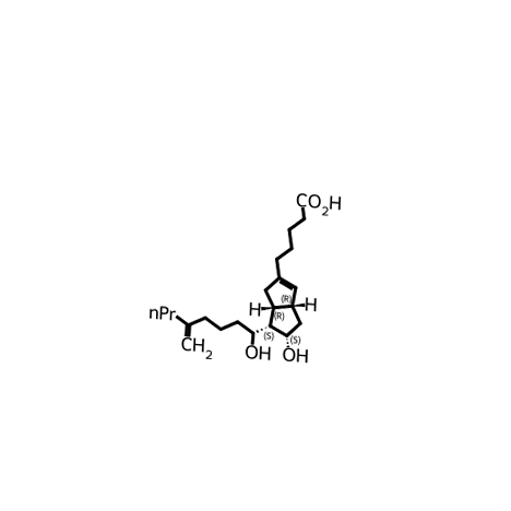 C=C(CCC)CCCC(O)[C@@H]1[C@@H]2CC(CCCCC(=O)O)=C[C@@H]2C[C@@H]1O